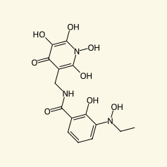 CCN(O)c1cccc(C(=O)NCc2c(O)n(O)c(O)c(O)c2=O)c1O